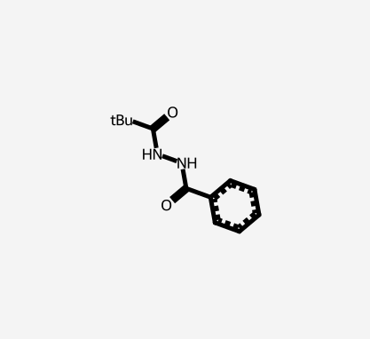 CC(C)(C)C(=O)NNC(=O)c1ccccc1